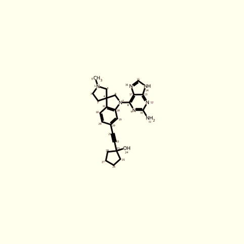 CN1CCC2(C1)CN(c1nc(N)nc3[nH]cnc13)c1cc(C#CC3(O)CCCC3)ccc12